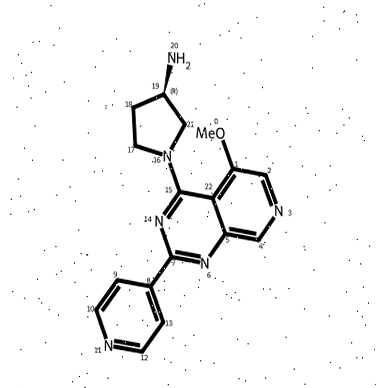 COc1cncc2nc(-c3ccncc3)nc(N3CC[C@@H](N)C3)c12